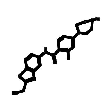 CC(=O)N1CCN(c2ccc(C(=O)Nc3ccc4sc(CO)nc4c3)c(C)c2)CC1